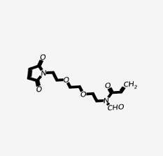 C=CC(=O)N(C=O)CCOCCOCCN1C(=O)C=CC1=O